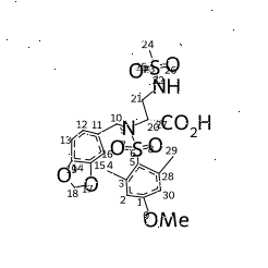 COc1cc(C)c(S(=O)(=O)N(Cc2ccc3c(c2)OCO3)[C@H](CNS(C)(=O)=O)C(=O)O)c(C)c1